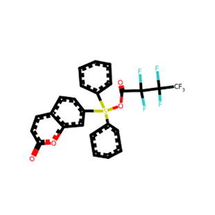 O=C(OS(c1ccccc1)(c1ccccc1)c1ccc2ccc(=O)oc2c1)C(F)(F)C(F)(F)C(F)(F)F